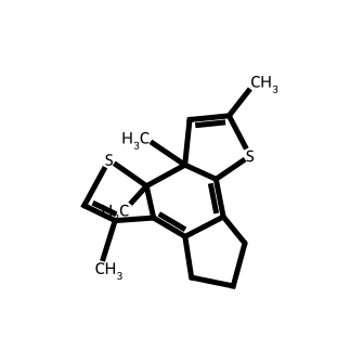 CC1=CC2(C)C(=C3CCCC3=C3C(C)=CSC32C)S1